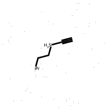 C#C[SiH2]CCC(C)C